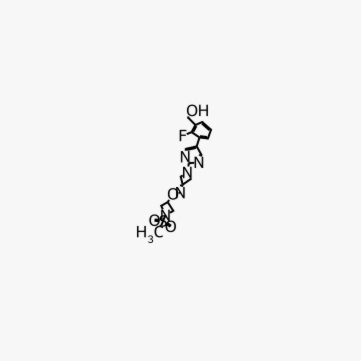 CS(=O)(=O)N1CC(ON=C2CN(c3ncc(-c4cccc(CO)c4F)cn3)C2)C1